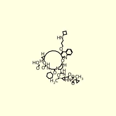 C=C[C@@H]1C[C@]1(NC(=O)[C@@H]1C[C@@H]2CN1C(=O)[C@H](C1CCCCC1)NC(=O)O[C@@H]1C[C@H]1CCCCCc1c(nc3ccccc3c1OCCCNC1CCC1)O2)C(=O)NS(=O)(=O)C1(C)CC1.O=CO